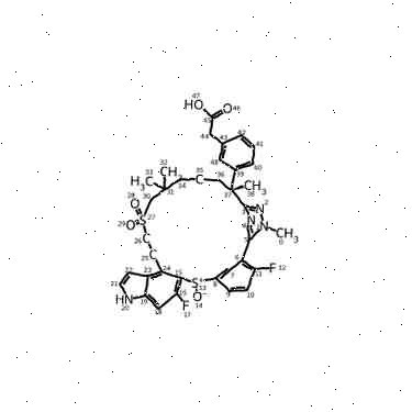 Cn1nc2nc1-c1cc(ccc1F)[S+]([O-])c1c(F)cc3[nH]ccc3c1CCS(=O)(=O)CC(C)(C)CCC[C@]2(C)c1cccc(CC(=O)O)c1